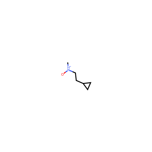 C[NH+]([O-])CCC1CC1